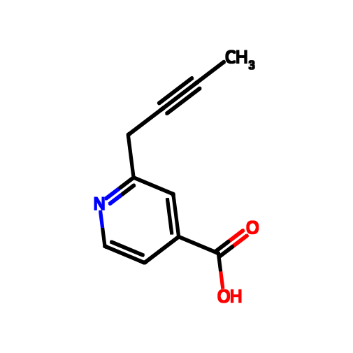 CC#CCc1cc(C(=O)O)ccn1